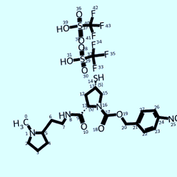 CN1CCCC1CCNC(=O)[C@@H]1C[C@H](S)CN1C(=O)OCc1ccc([N+](=O)[O-])cc1.O=S(=O)(O)C(F)(F)F.O=S(=O)(O)C(F)(F)F